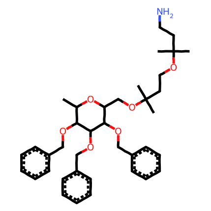 CC1OC(COC(C)(C)CCOC(C)(C)CCN)C(OCc2ccccc2)C(OCc2ccccc2)C1OCc1ccccc1